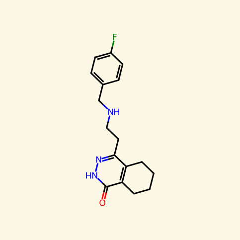 O=c1[nH]nc(CCNCc2ccc(F)cc2)c2c1CCCC2